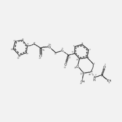 CCC(=O)N[C@H]1Cc2cccc(C(=O)OCOC(=O)Cc3cccnc3)c2OB1O